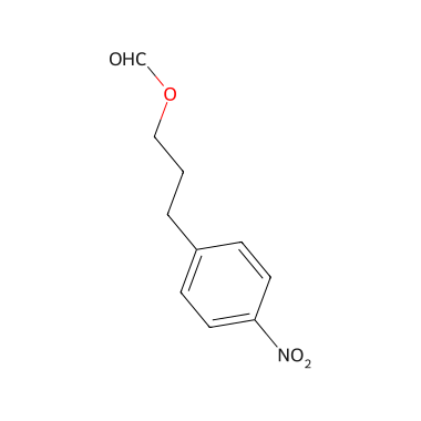 O=COCCCc1ccc([N+](=O)[O-])cc1